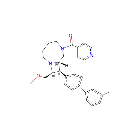 COC[C@@H]1[C@H](c2ccc(-c3cccc(C)c3)cc2)[C@H]2CN(C(=O)c3ccncc3)CCCCN12